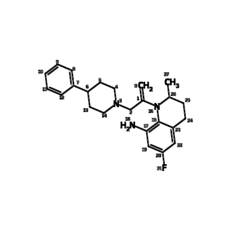 C=C(CN1CCC(c2ccccc2)CC1)N1c2c(N)cc(F)cc2CCC1C